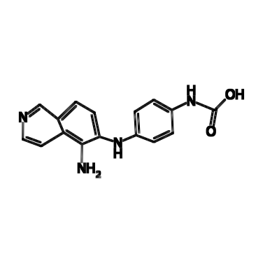 Nc1c(Nc2ccc(NC(=O)O)cc2)ccc2cnccc12